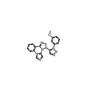 COc1cccc(-n2nncc2N2CN=C3c4ccccc4-n4cncc4N32)c1